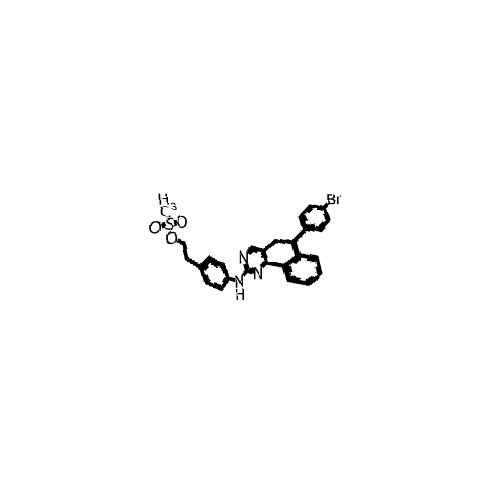 CS(=O)(=O)OCCc1ccc(Nc2ncc3c(n2)-c2ccccc2C(c2ccc(Br)cc2)C3)cc1